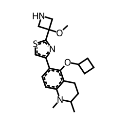 COC1(c2nc(-c3ccc4c(c3OC3CCC3)CCC(C)N4C)cs2)CNC1